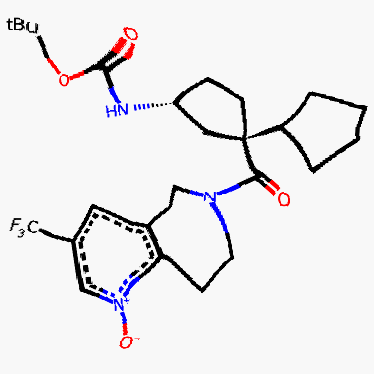 CC(C)(C)OC(=O)N[C@@H]1CC[C@@](C(=O)N2CCc3c(cc(C(F)(F)F)c[n+]3[O-])C2)(C2CCCC2)C1